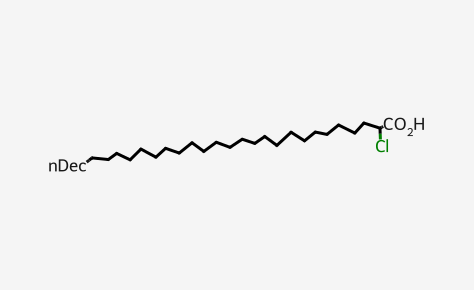 CCCCCCCCCCCCCCCCCCCCCCCCCCCCCCCCCC(Cl)C(=O)O